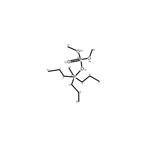 CCCP(C)(CCC)(CCC)OP(=O)(OC)OC